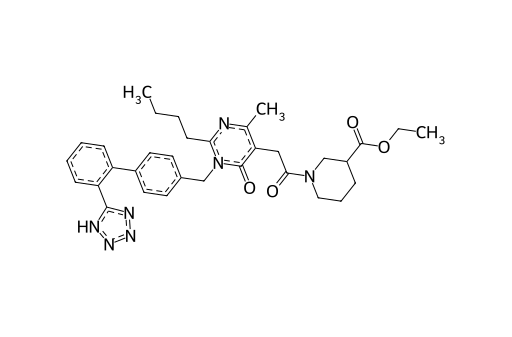 CCCCc1nc(C)c(CC(=O)N2CCCC(C(=O)OCC)C2)c(=O)n1Cc1ccc(-c2ccccc2-c2nnn[nH]2)cc1